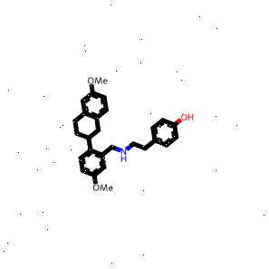 COc1ccc2c(c1)CCC(c1ccc(OC)cc1CNCCc1ccc(O)cc1)C2